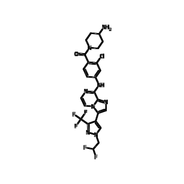 NC1CCN(C(=O)c2ccc(Nc3nccn4c(-c5cn(CC(F)F)nc5C(F)(F)F)cnc34)cc2Cl)CC1